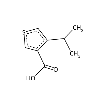 CC(C)c1cscc1C(=O)O